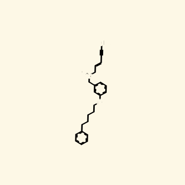 CN(C/C=C/C#CC(C)(C)C)Cc1cccc(OCCCCCc2ccccc2)c1